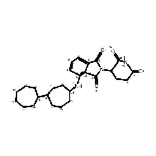 O=C1CCC(N2C(=O)c3cccc(NC4CCCC(C5CCCCCC5)CC4)c3C2=O)C(=O)N1